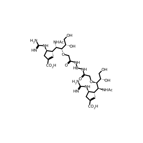 CC(=O)N[C@@H]([C@@H]1C=C(C(=O)O)C[C@H]1NC(=N)N)[C@@H](OCC(=O)NBNC(=O)CO[C@H]([C@@H](NC(C)=O)[C@@H]1C=C(C(=O)O)C[C@H]1NC(=N)N)[C@@H](O)CO)[C@@H](O)CO